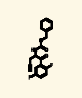 C#CCC(NC(=O)OCc1ccccc1)C(=O)c1cc(F)ccc1F